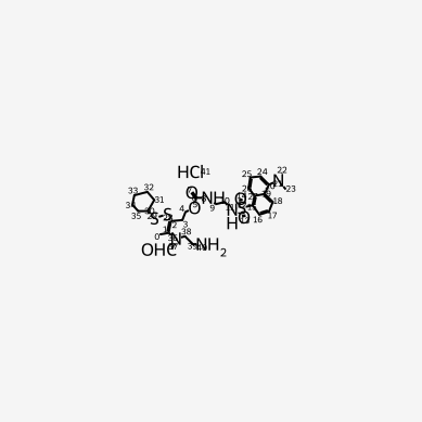 CC(=C(CCOC(=O)NCCNS(=O)(=O)c1cccc2c(N(C)C)cccc12)SSC1CCCCC1)N(C=O)CCN.Cl